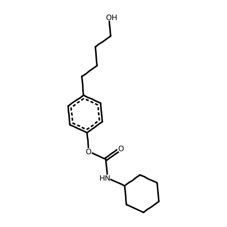 O=C(NC1CCCCC1)Oc1ccc(CCCCO)cc1